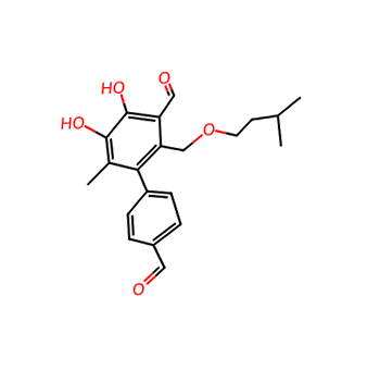 Cc1c(O)c(O)c(C=O)c(COCCC(C)C)c1-c1ccc(C=O)cc1